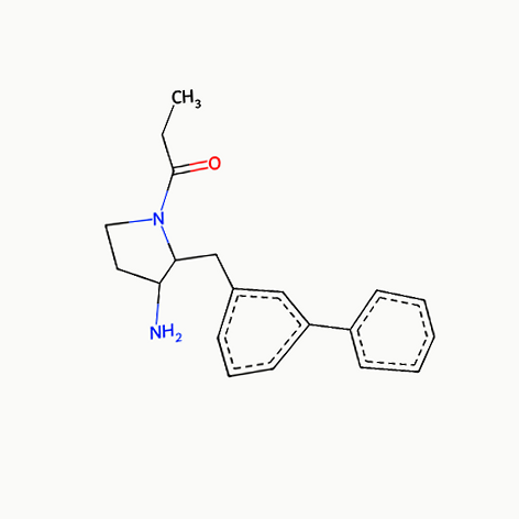 CCC(=O)N1CCC(N)C1Cc1cccc(-c2ccccc2)c1